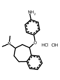 CN(C)C1CCc2ccccc2C(Oc2ccc(N)cc2)C1.Cl.Cl